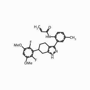 C=CC(=O)Nc1ccc(C)cc1-c1n[nH]c2c1CCC(c1c(F)c(OC)cc(OC)c1F)C2